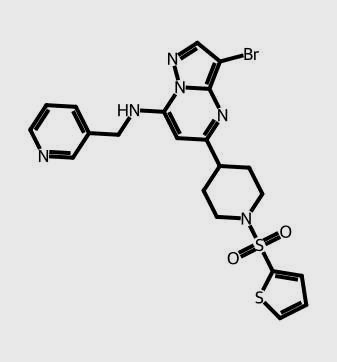 O=S(=O)(c1cccs1)N1CCC(c2cc(NCc3cccnc3)n3ncc(Br)c3n2)CC1